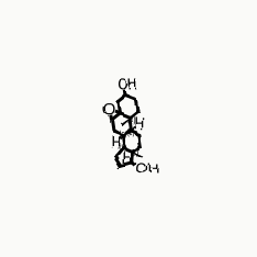 C[C@]12CC[C@@H]3[C@@H](CC4OC45CC(O)CC[C@]35C)[C@@H]1CCC2O